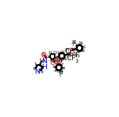 O=C(NCc1ccncc1)[C@@H]1CC[C@](c2ccc(C(OCc3c(F)cccc3F)(C(F)(F)F)C(F)(F)F)cc2)(S(=O)(=O)c2ccc(F)cc2)C1